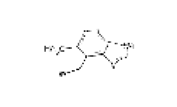 CC(C)Cc1c(C(=O)O)ccc2[nH]cnc12